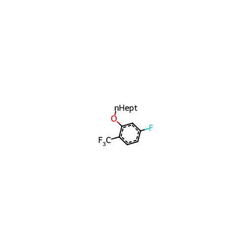 CCCCCCCOc1cc(F)ccc1C(F)(F)F